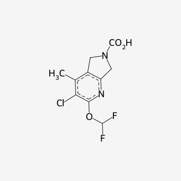 Cc1c(Cl)c(OC(F)F)nc2c1CN(C(=O)O)C2